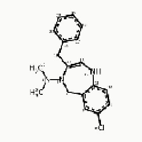 CN(C)N1Cc2cc(Cl)ccc2NC=C1Cc1ccccc1